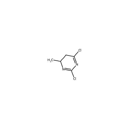 CC1CC(Cl)=NC(Cl)=N1